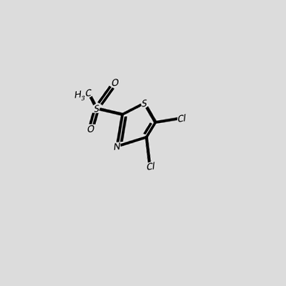 CS(=O)(=O)c1nc(Cl)c(Cl)s1